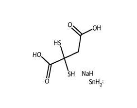 O=C(O)CC(S)(S)C(=O)O.[NaH].[SnH2]